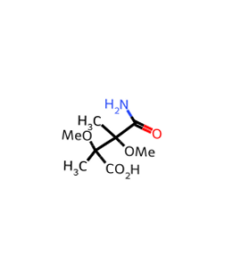 COC(C)(C(N)=O)C(C)(OC)C(=O)O